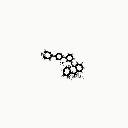 Cc1c(-c2ccc(-c3ccncc3)cc2)cccc1N1c2ccccc2C(C)(C)c2ccccc21